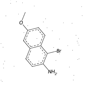 COc1ccc2c(Br)c(N)ccc2c1